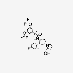 Cc1cc(F)ccc1-c1cc(N2CCC[C@H]2CO)ncc1N(C)C(=O)C(C)(C)c1cc(OC(F)F)cc(OC(F)F)c1